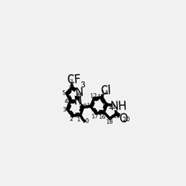 Cc1ccc2cc(C(F)(F)F)nn2c1-c1cc(Cl)c2c(c1)CC(=O)N2